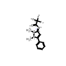 Cn1c(-c2ccccc2)c/c(=N/C(=O)C(F)(F)F)n1C